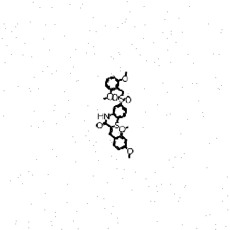 COc1ccc(C=C2Sc3ccc(S(=O)(=O)Cc4c(OC)cccc4OC)cc3NC2=O)c(OC)c1